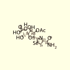 CC(=O)O[C@@H]1[C@H](O)[C@@H](C(O)P(=O)(O)O)O[C@H]1c1nc(C(N)=O)c[se]1